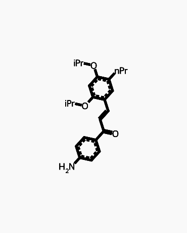 CCCc1cc(/C=C/C(=O)c2ccc(N)cc2)c(OC(C)C)cc1OC(C)C